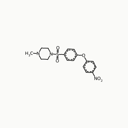 CN1CCN(S(=O)(=O)c2ccc(Oc3ccc([N+](=O)[O-])cc3)cc2)CC1